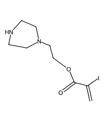 C=C(I)C(=O)OCCN1CCNCC1